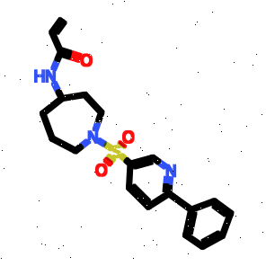 C=CC(=O)NC1CCCN(S(=O)(=O)c2ccc(-c3ccccc3)nc2)CC1